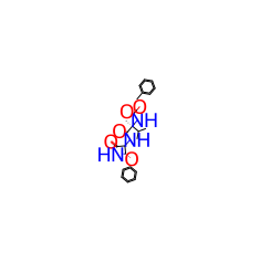 CC(C)[C@](C)(NC(=O)OCc1ccccc1)C(=O)N[C@@H]1C(=O)N[C@H]1Oc1ccccc1